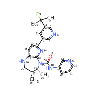 CCC(C)(F)c1cncc(-c2ccc3c(n2)N(C(=O)Nc2cccnc2)[C@H](C)[C@H](C)CN3)c1